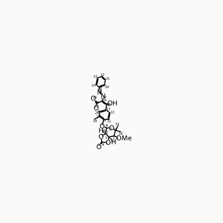 COC1[C@@H]2OC(=O)O[C@@H]2C(Oc2ccc3c(O)c(/N=N/c4ccccc4)c(=O)oc3c2C)OC1(C)C